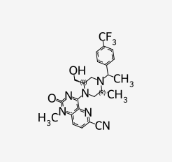 CC(c1ccc(C(F)(F)F)cc1)N1C[C@H](CO)N(c2nc(=O)n(C)c3ccc(C#N)nc23)C[C@H]1C